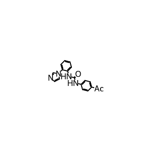 CC(=O)c1ccc(NC(=O)Nc2ccccc2-n2ccnc2)cc1